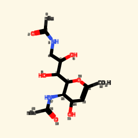 CCCCC(=O)NCC(O)C(O)C1OC(C(=O)O)=CC(O)[C@H]1NC(=O)CCCC